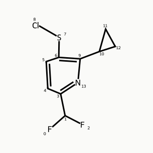 FC(F)c1ccc(SCl)c(C2CC2)n1